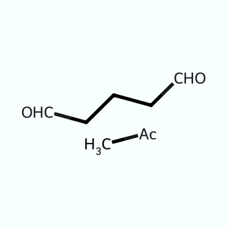 CC(C)=O.O=CCCCC=O